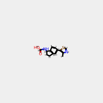 Cc1ncsc1-c1ccc2c(c1)CCC2NC(=O)O